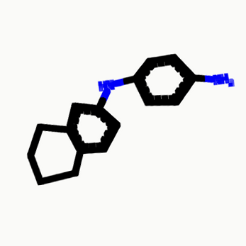 Nc1ccc(Nc2ccc3c(c2)CCCC3)cc1